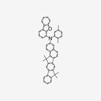 Cc1ccc(C)c(N(c2ccc3c4c(ccc3c2)-c2cc3c(cc2C4(C)C)-c2ccccc2C3(C)C)c2cccc3c2oc2ccccc23)c1